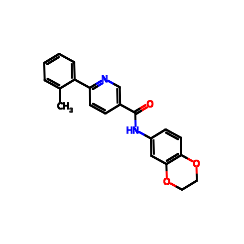 Cc1ccccc1-c1ccc(C(=O)Nc2ccc3c(c2)OCCO3)cn1